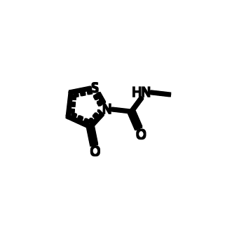 CNC(=O)n1sccc1=O